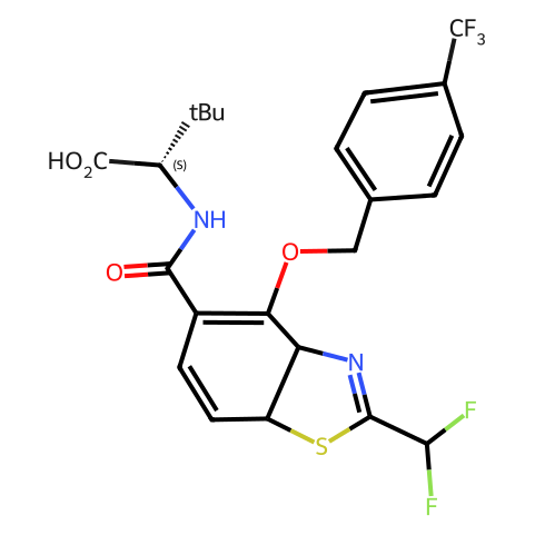 CC(C)(C)[C@H](NC(=O)C1=C(OCc2ccc(C(F)(F)F)cc2)C2N=C(C(F)F)SC2C=C1)C(=O)O